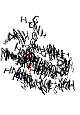 CCC(=O)NCCOCC(=O)N[C@@H](Cc1ccc(C(C)=O)cc1)C(=O)N[C@H](CCCNC(=N)N)C(=O)N[C@H](CCCNC(=N)N)C(=O)N[C@H](CCCNC(=N)N)C(=O)N[C@H](CCCNC(=N)N)C(=O)N[C@H](CCCNC(=N)N)C(=O)N[C@H](CCCNC(=N)N)C(=O)N[C@H](CCCNC(=N)N)C(=O)N[C@H](CCCNC(=N)N)C(=O)N[C@H](CS)C(N)=O